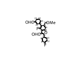 COCc1cc2oc(-c3ccc(F)cc3)c(C=O)c2c(F)c1-c1cccc(C=O)c1